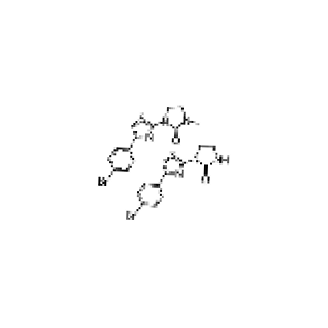 CN1CCN(c2nc(-c3ccc(Br)cc3)cs2)C1=O.O=C1NCCN1c1nc(-c2ccc(Br)cc2)cs1